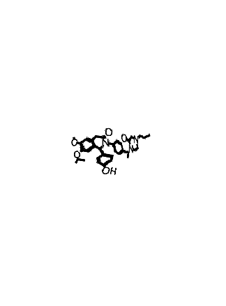 CCCN1CCN(C(C)c2ccc(N3C(=O)Cc4cc(OC)c(OC(C)C)cc4C3c3ccc(O)cc3)cc2)C(=O)C1